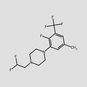 Cc1cc(N2CCN(CC(F)F)CC2)c(F)c(C(F)(F)F)c1